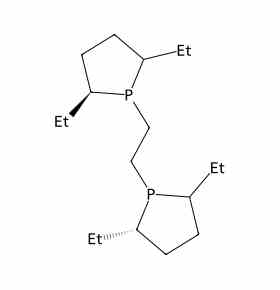 CCC1CC[C@H](CC)P1CCP1C(CC)CC[C@@H]1CC